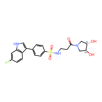 O=C(CCNS(=O)(=O)c1ccc(-c2c[nH]c3cc(F)ccc23)cc1)N1C[C@H](O)[C@@H](O)C1